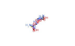 CC(C)(ON=C(C(=O)N[C@H]1CN(C(=O)NS(=O)(=O)N2CCN(NC(=O)c3cc(=O)c(O)c(C#N)[nH]3)C2=O)C1=O)c1csc(N)n1)C(=O)O